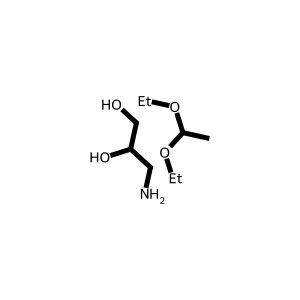 CCOC(C)OCC.NCC(O)CO